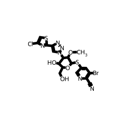 COC1C(Sc2cnc(C#N)c(Br)c2)OC(CO)C(O)C1n1cc(-c2nc(Cl)cs2)nn1